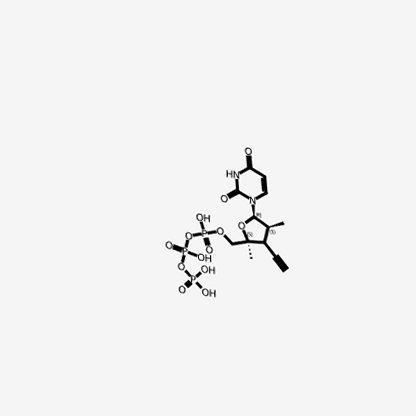 C#CC1[C@H](C)[C@H](n2ccc(=O)[nH]c2=O)O[C@]1(C)COP(=O)(O)OP(=O)(O)OP(=O)(O)O